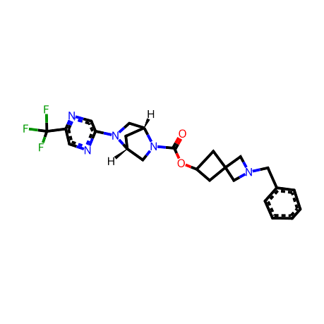 O=C(OC1CC2(C1)CN(Cc1ccccc1)C2)N1C[C@H]2C[C@@H]1CN2c1cnc(C(F)(F)F)cn1